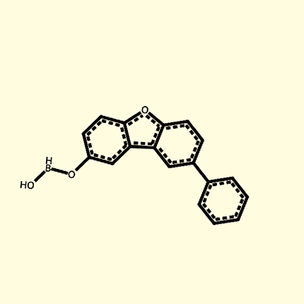 OBOc1ccc2oc3ccc(-c4ccccc4)cc3c2c1